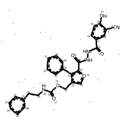 N#Cc1cc(C(=O)NNC(=O)c2occ(COC(=O)NCCc3ccccc3)c2-c2ccccc2)ccc1O